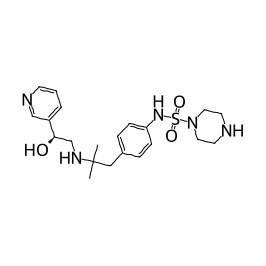 CC(C)(Cc1ccc(NS(=O)(=O)N2CCNCC2)cc1)NC[C@@H](O)c1cccnc1